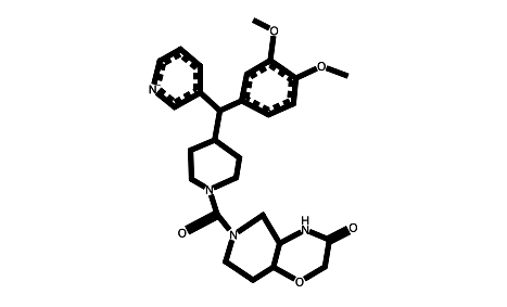 COc1ccc(C(c2cccnc2)C2CCN(C(=O)N3CCC4OCC(=O)NC4C3)CC2)cc1OC